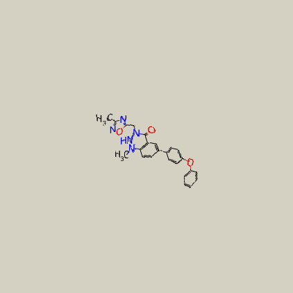 Cc1noc(CN2NN(C)c3ccc(-c4ccc(Oc5ccccc5)cc4)cc3C2=O)n1